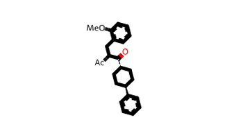 COc1ccccc1CC(C(C)=O)C(=O)[C@H]1CC[C@H](c2ccccc2)CC1